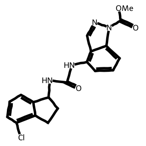 COC(=O)n1ncc2c(NC(=O)NC3CCc4c(Cl)cccc43)cccc21